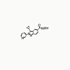 CNC(=O)c1ccc2nn(-c3cccnc3)c(C3CC3)c2c1